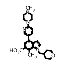 Cc1c(C(=O)O)cc(-c2ccc(N3CCN(C)CC3)nc2)c2ccn(CC3CCOCC3)c12